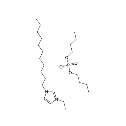 CCCCCCCCCCCn1cc[n+](CC)c1.CCCCOP(=O)([O-])OCCCC